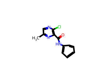 Cc1cnc(Cl)c(C(=O)Nc2ccccc2)n1